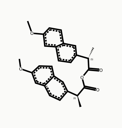 COc1ccc2cc([C@H](C)C(=O)OC(=O)[C@@H](C)c3ccc4cc(OC)ccc4c3)ccc2c1